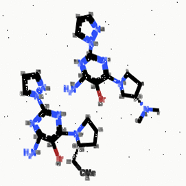 CN(C)[C@H]1CCN(c2nc(-n3cccn3)nc(N)c2Br)C1.COC[C@H]1CCCN1c1nc(-n2cccn2)nc(N)c1Br